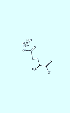 N[C@@H](CCC(=O)[O-])C(=O)[O-].O.O.[Be+2]